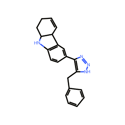 C1=CC2c3cc(-c4nn[nH]c4Cc4ccccc4)ccc3NC2CC1